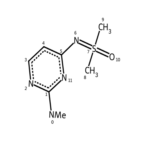 CNc1nccc(N=S(C)(C)=O)n1